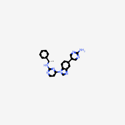 C[C@H](Nc1nccc(-n2cnc3cc(-c4cnc(N)nc4)ccc32)n1)c1ccccc1